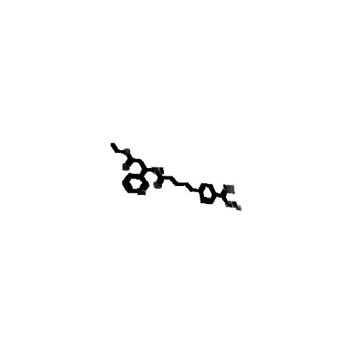 CCOC(=O)CC(NC(=O)CCCCc1ccc(C(=N)N)cc1)c1cccnc1